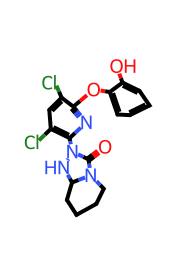 O=C1N(c2nc(Oc3ccccc3O)c(Cl)cc2Cl)NC2CCCCN12